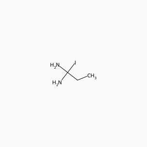 CCC(N)(N)I